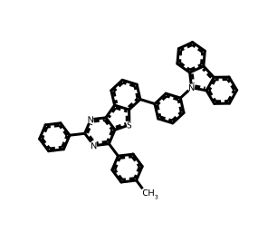 Cc1ccc(-c2nc(-c3ccccc3)nc3c2sc2c(-c4cccc(-n5c6ccccc6c6ccccc65)c4)cccc23)cc1